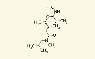 CNC(OC(C)=[SH]CC(=O)N(C)CC(C)C)C(C)C